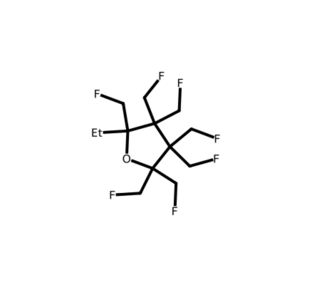 CCC1(CF)OC(CF)(CF)C(CF)(CF)C1(CF)CF